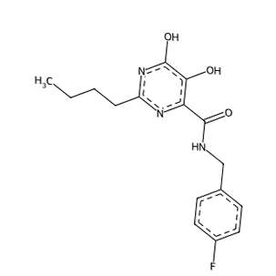 CCCCc1nc(O)c(O)c(C(=O)NCc2ccc(F)cc2)n1